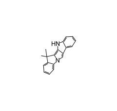 CC1(C)c2ccccc2-n2cc3c([nH]c4ccccc43)c21